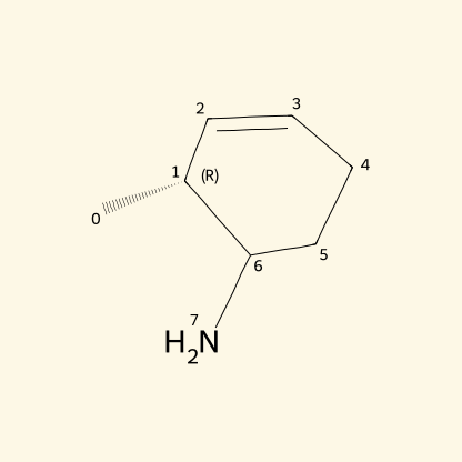 C[C@@H]1C=CCCC1N